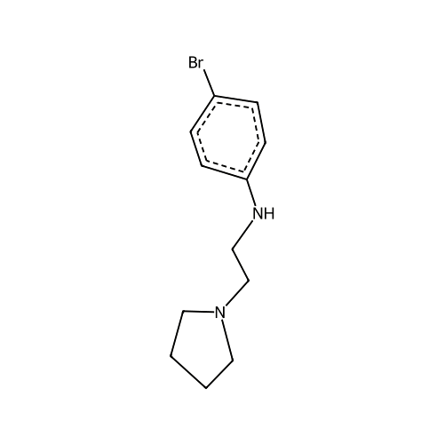 Brc1ccc(NCCN2CCCC2)cc1